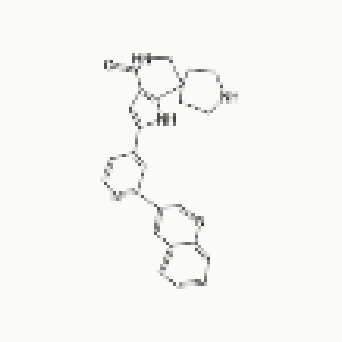 O=C1NCC2(CCNCC2)c2[nH]c(-c3ccnc(-c4cnc5ccccc5c4)c3)cc21